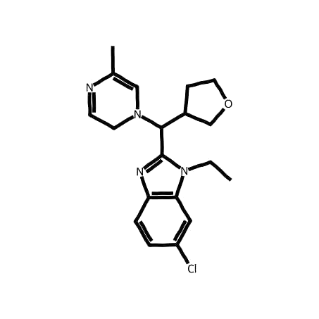 CCn1c(C(C2CCOC2)N2C=C(C)N=CC2)nc2ccc(Cl)cc21